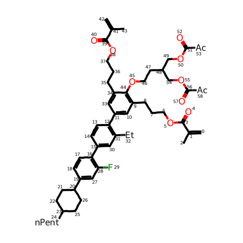 C=C(C)C(=O)OCCCc1cc(-c2ccc(-c3ccc(C4CCC(CCCCC)CC4)cc3F)cc2CC)cc(CCCOC(=O)C(=C)C)c1OCCC(COC(=O)C(C)=O)COC(=O)C(C)=O